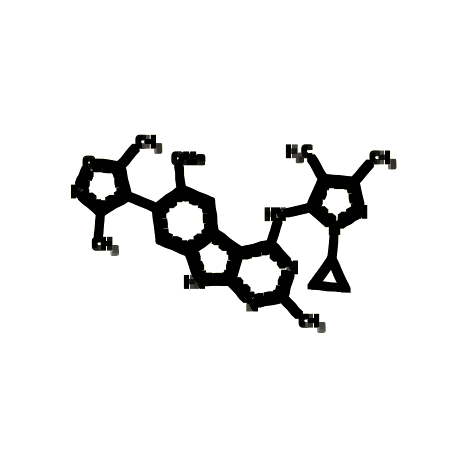 COc1cc2c(cc1-c1c(C)noc1C)[nH]c1nc(C)nc(Nc3c(C)c(C)nn3C3CC3)c12